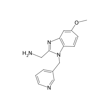 COc1ccc2c(c1)nc(CN)n2Cc1cccnc1